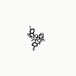 CC(n1cnc2cc(I)ccc2c1=O)C(O)(Cn1cncn1)c1ccc(F)cc1F